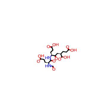 O=CN[C@@H](CCC(=O)O)C(=O)N[C@@H](CCC(=O)O)C(=O)C[C@@H](CCC(=O)O)C(=O)O